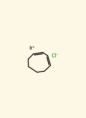 C1=C\CCCC\C=C/1.[Cl-].[Ir+]